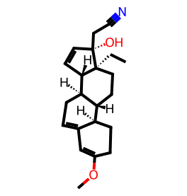 CC[C@]12CC[C@H]3[C@@H](CC=C4C=C(OC)CC[C@@H]43)[C@@H]1C=C[C@@]2(O)CC#N